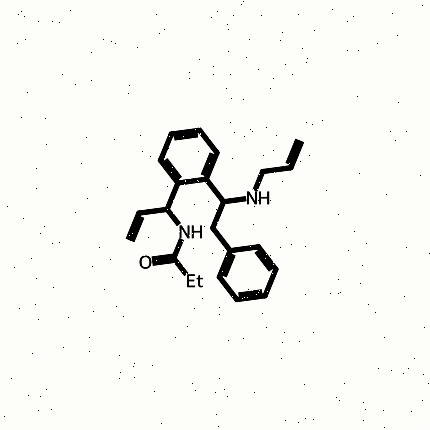 C=CCNC(Cc1ccccc1)c1ccccc1C(C=C)NC(=O)CC